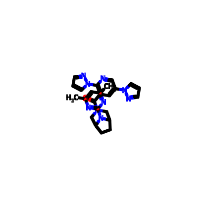 Cc1cc(C)nc(N2C3CCC2CN(C(=O)c2cc(-n4cccn4)cnc2-n2cccn2)C3)n1